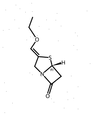 CCOC=C1CN2C(=O)C[C@H]2S1